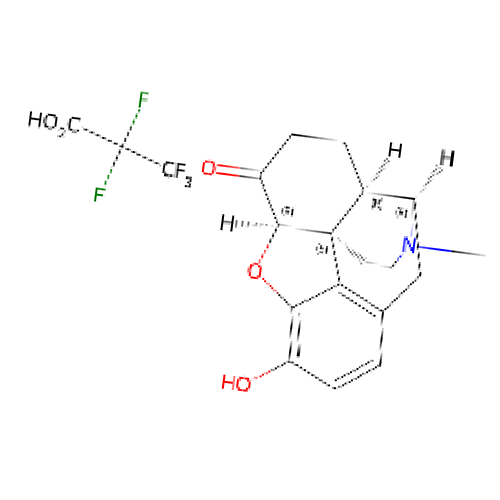 CN1CC[C@]23c4c5ccc(O)c4O[C@H]2C(=O)CC[C@H]3[C@H]1C5.O=C(O)C(F)(F)C(F)(F)F